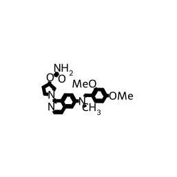 COc1ccc(CN(C)c2ccc3c(N4CCC(OC(N)=O)C4)nccc3c2)c(OC)c1